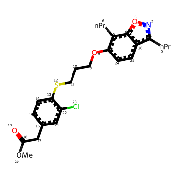 CCCc1noc2c(CCC)c(OCCCSc3ccc(CC(=O)OC)cc3Cl)ccc12